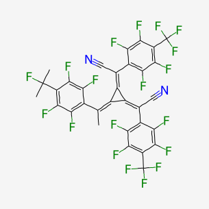 C/C(=C1\C(=C(C#N)c2c(F)c(F)c(C(F)(F)F)c(F)c2F)\C1=C(\C#N)c1c(F)c(F)c(C(F)(F)F)c(F)c1F)c1c(F)c(F)c(C(C)(C)F)c(F)c1F